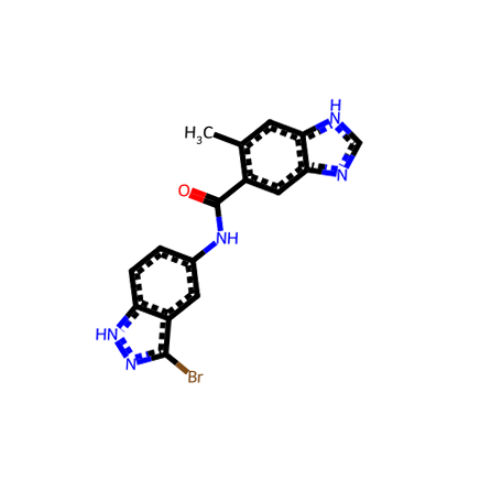 Cc1cc2[nH]cnc2cc1C(=O)Nc1ccc2[nH]nc(Br)c2c1